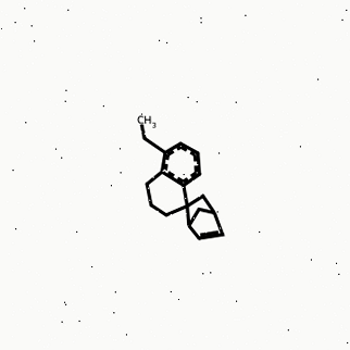 CCc1cccc2c1CCCC21CC2C=CC1C2